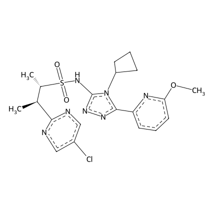 COc1cccc(-c2nnc(NS(=O)(=O)[C@@H](C)[C@H](C)c3ncc(Cl)cn3)n2C2CCC2)n1